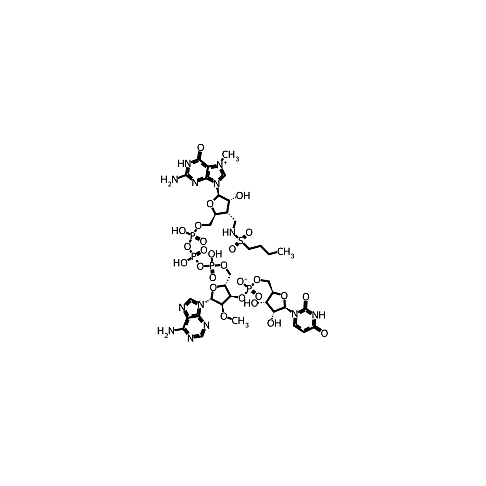 CCCCS(=O)(=O)NC[C@H]1[C@@H](O)[C@H](n2c[n+](C)c3c(=O)[nH]c(N)nc32)O[C@@H]1COP(=O)(O)OP(=O)(O)OP(=O)(O)OC[C@H]1O[C@@H](n2cnc3c(N)ncnc32)[C@H](OC)[C@@H]1OP(=O)([O-])OC[C@H]1O[C@@H](n2ccc(=O)[nH]c2=O)[C@H](O)[C@@H]1O